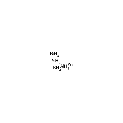 B.[AlH3].[BiH3].[SiH4].[Zn]